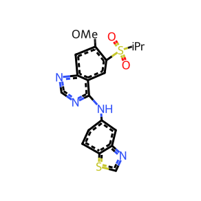 COc1cc2ncnc(Nc3ccc4scnc4c3)c2cc1S(=O)(=O)C(C)C